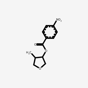 CC1COCC1OC(=O)c1ccc([N+](=O)[O-])cc1